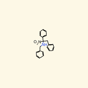 O=[N+]([O-])C(Cc1ccccc1)(NCc1ccccc1)c1ccccc1